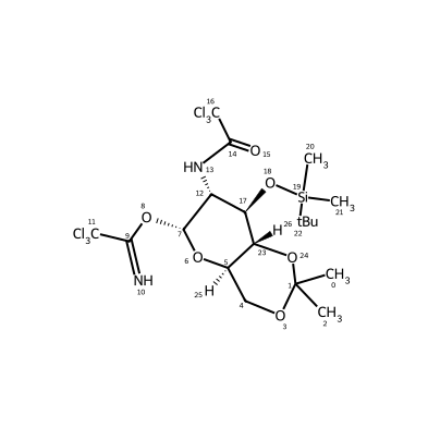 CC1(C)OC[C@H]2O[C@H](OC(=N)C(Cl)(Cl)Cl)[C@H](NC(=O)C(Cl)(Cl)Cl)[C@@H](O[Si](C)(C)C(C)(C)C)[C@@H]2O1